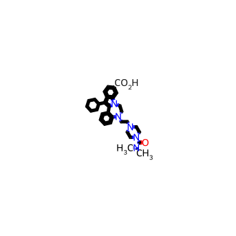 CN(C)C(=O)N1CCN(CCN2CCn3c(c(C4CCCCC4)c4ccc(C(=O)O)cc43)-c3ccccc32)CC1